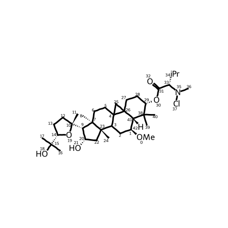 CO[C@H]1CC2C3(CC[C@]4(C)[C@@H]([C@@]5(C)CC[C@@H](C(C)(C)O)O5)[C@@H](O)C[C@@]24C)CC32CC[C@H](OC(=O)[C@H](C(C)C)N(C)Cl)C(C)(C)[C@H]12